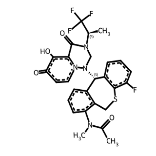 CC(=O)N(C)c1cccc2c1CSc1c(F)cccc1[C@H]2N1CN([C@H](C)C(F)(F)F)C(=O)c2c(O)c(=O)ccn21